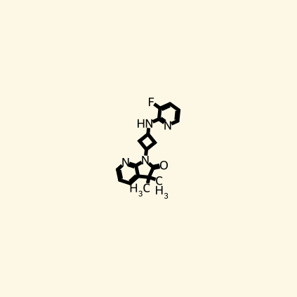 CC1(C)C(=O)N(C2CC(Nc3ncccc3F)C2)c2ncccc21